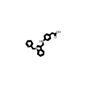 O=C(O)Cc1ccc(NCc2cn(Cc3ccccc3)c3ccccc23)cc1